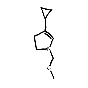 COCN1C=C(C2CC2)CC1